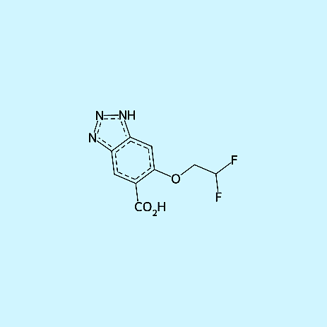 O=C(O)c1cc2nn[nH]c2cc1OCC(F)F